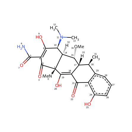 CN[C@@]12C(=O)C(C(N)=O)=C(O)[C@@H](N(C)C)[C@H]1[C@H](OC)[C@H]1C(=C2O)C(=O)c2c(O)cccc2[C@@H]1C